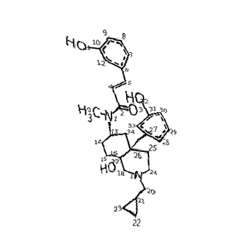 CN(C(=O)C=Cc1cccc(O)c1)[C@@H]1CC[C@]2(O)CN(CC3CC3)CC[C@@]2(c2cccc(O)c2)C1